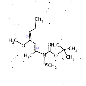 C=CN(C(=O)OC(C)(C)C)/C(C)=C/C(=C\CC)OC